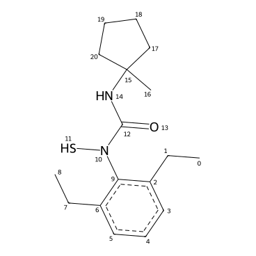 CCc1cccc(CC)c1N(S)C(=O)NC1(C)CCCC1